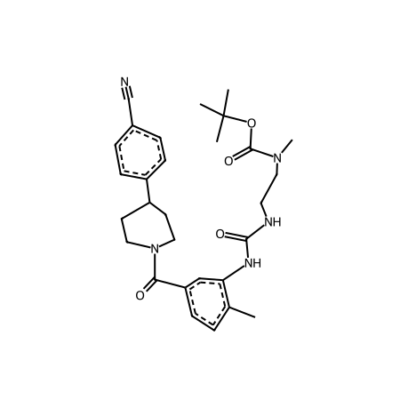 Cc1ccc(C(=O)N2CCC(c3ccc(C#N)cc3)CC2)cc1NC(=O)NCCN(C)C(=O)OC(C)(C)C